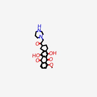 COc1cccc2c1C(=O)c1c(O)c3c(c(O)c1C2=O)CC(C(=O)CN1CCCNCC1)CC3